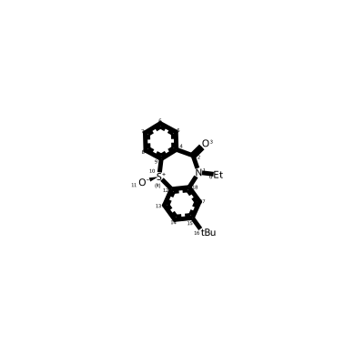 CCN1C(=O)c2ccccc2[S@+]([O-])c2ccc(C(C)(C)C)cc21